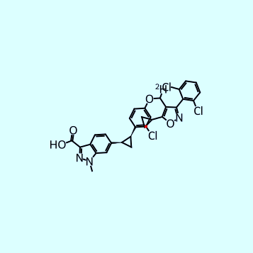 [2H]C(Oc1ccc([C@H]2C[C@H]2c2ccc3c(C(=O)O)nn(C)c3c2)c(Cl)c1)c1c(-c2c(Cl)cccc2Cl)noc1C1CC1